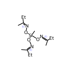 CC/C(C)=N/O[Si](C)(O/N=C(\C)CC)O/N=C(\C)CC